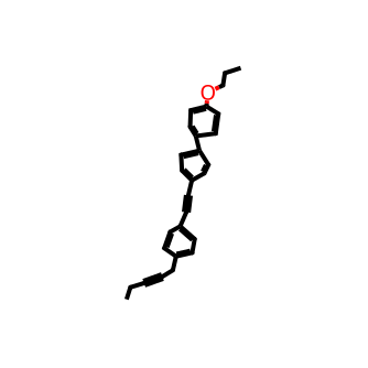 CCC#CCc1ccc(C#Cc2ccc(-c3ccc(OCCC)cc3)cc2)cc1